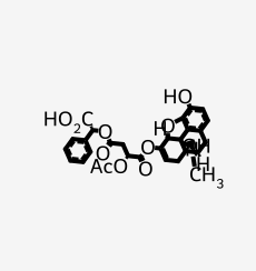 CC(=O)O[C@@H](CC(=O)O[C@H](C(=O)O)c1ccccc1)C(=O)OC1=CC[C@@]2(O)[C@H]3Cc4ccc(O)c5c4[C@@]2(CCN3C)[C@H]1O5